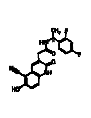 C[C@H](NC(=O)Cc1cc2c(C#N)c(O)ccc2[nH]c1=O)c1ccc(F)cc1F